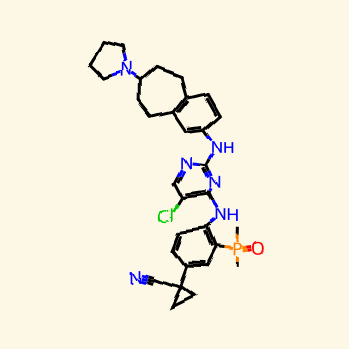 CP(C)(=O)c1cc(C2(C#N)CC2)ccc1Nc1nc(Nc2ccc3c(c2)CCC(N2CCCC2)CC3)ncc1Cl